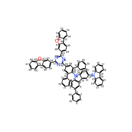 c1ccc(-c2ccc3c(c2)c2cc(-n4c5ccccc5c5ccccc54)ccc2n3-c2c(-c3ccccc3)cc(-c3nc(-c4ccc5c(c4)oc4ccccc45)nc(-c4ccc5c(c4)oc4ccccc45)n3)cc2-c2ccccc2)cc1